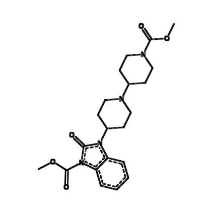 COC(=O)N1CCC(N2CCC(n3c(=O)n(C(=O)OC)c4ccccc43)CC2)CC1